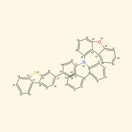 c1ccc(-c2ccccc2N(c2ccc(-c3ccc4c(c3)sc3ccccc34)cc2)c2cccc3oc4ccccc4c23)cc1